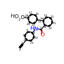 C#Cc1ccc(NC(=O)c2ccccc2-c2ccc(C(=O)O)cc2)cc1